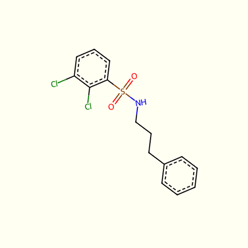 O=S(=O)(NCCCc1ccccc1)c1cccc(Cl)c1Cl